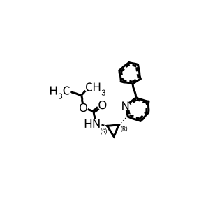 CC(C)OC(=O)N[C@H]1C[C@H]1c1cccc(-c2ccccc2)n1